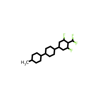 CC1CCC(C2CCC(C3CC(F)C(C(F)F)C(F)C3)CC2)CC1